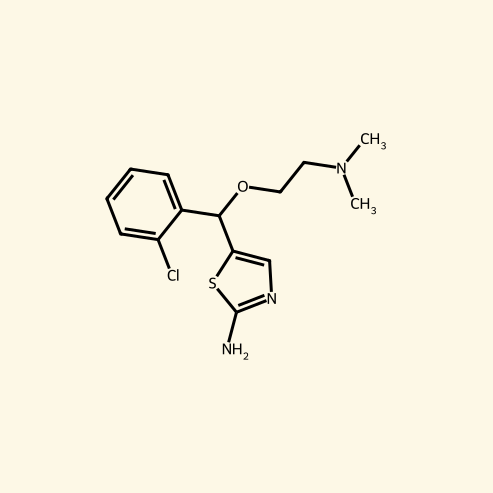 CN(C)CCOC(c1cnc(N)s1)c1ccccc1Cl